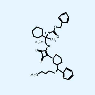 COCCCOC(c1ccccc1)C1CCCN(c2c(N[C@@H](C)C(C)(NC(=O)OCc3ccccc3)C3CCCCC3)c(=O)c2=O)C1